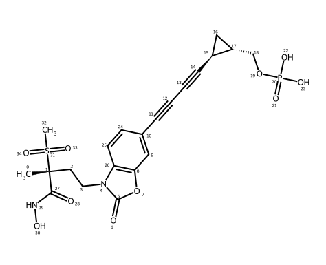 C[C@@](CCn1c(=O)oc2cc(C#CC#C[C@H]3C[C@@H]3COP(=O)(O)O)ccc21)(C(=O)NO)S(C)(=O)=O